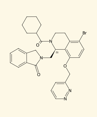 O=C1c2ccccc2CN1C[C@@H]1c2c(OCc3cccnn3)ccc(Br)c2CCN1C(=O)C1CCCCC1